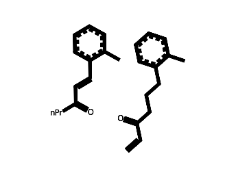 C=CC(=O)CCCc1ccccc1C.CCCC(=O)C=Cc1ccccc1C